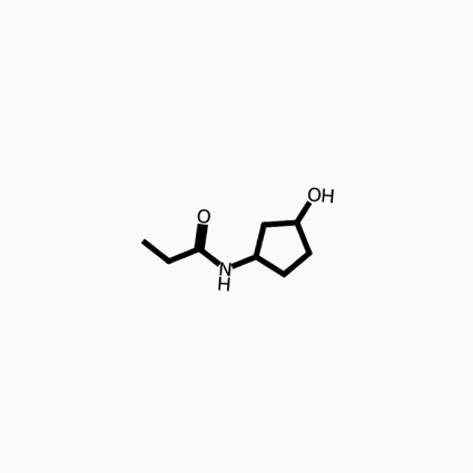 CCC(=O)NC1CCC(O)C1